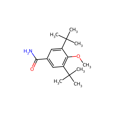 COc1c(C(C)(C)C)cc(C(N)=O)cc1C(C)(C)C